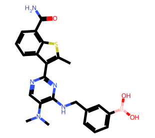 Cc1sc2c(C(N)=O)cccc2c1-c1ncc(N(C)C)c(NCc2cccc(B(O)O)c2)n1